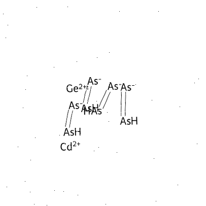 [As-]=[AsH].[As-]=[AsH].[As-]=[AsH].[As-]=[AsH].[Cd+2].[Ge+2]